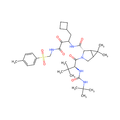 Cc1ccc(S(=O)(=O)CNC(=O)C(=O)C(CC2CCC2)NC(=O)[C@@H]2C3C(CN2C(=O)[C@@H](NC(=O)NC(C)(C)C)C(C)(C)C)C3(C)C)cc1